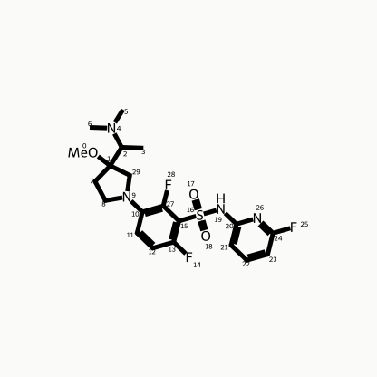 COC1(C(C)N(C)C)CCN(c2ccc(F)c(S(=O)(=O)Nc3cccc(F)n3)c2F)C1